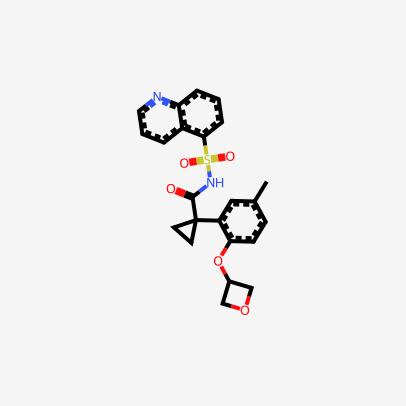 Cc1ccc(OC2COC2)c(C2(C(=O)NS(=O)(=O)c3cccc4ncccc34)CC2)c1